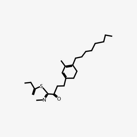 C=C(CC)S/C(=N\C)C(=O)CCC1=CC(C)=C(CCCCCCCC)CC1